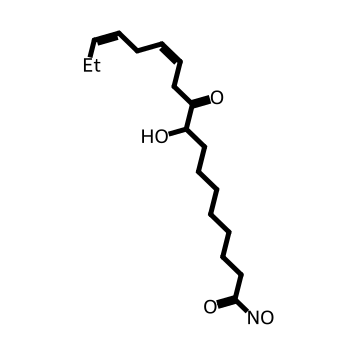 CC/C=C\C/C=C\CC(=O)C(O)CCCCCCCC(=O)N=O